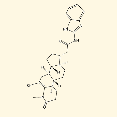 CN1C(=O)CC[C@@]2(C)C1=C(Cl)C[C@H]1[C@@H]3CC[C@H](CC(=O)Nc4nc5ccccc5[nH]4)[C@@]3(C)CC[C@@H]12